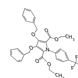 CCOC(=O)c1c(OCc2ccccc2)c(OCc2ccccc2)c(C(=O)OCC)n1-c1ccc(C(F)(F)F)cc1